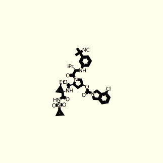 [C-]#[N+]C(C)(C)c1cccc(N[C@H](C(=O)N2C[C@H](OC(=O)N3Cc4cccc(Cl)c4C3)C[C@H]2C(=O)N[C@]2(C(=O)NS(=O)(=O)C3CC3)C[C@H]2CC)C(C)C)c1